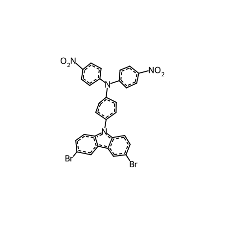 O=[N+]([O-])c1ccc(N(c2ccc(-n3c4ccc(Br)cc4c4cc(Br)ccc43)cc2)c2ccc([N+](=O)[O-])cc2)cc1